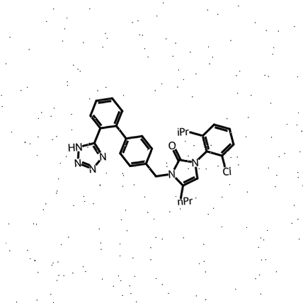 CCCc1cn(-c2c(Cl)cccc2C(C)C)c(=O)n1Cc1ccc(-c2ccccc2-c2nnn[nH]2)cc1